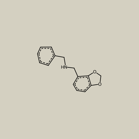 c1ccc(CNCc2cccc3c2OCO3)cc1